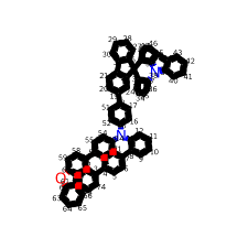 c1ccc(-c2ccc(-c3ccccc3N(c3ccc(-c4ccc5c(c4)C4(c6ccccc6-5)c5ccccc5-n5c6ccccc6c6cccc4c65)cc3)c3ccc(-c4ccc5oc6ccccc6c5c4)cc3)cc2)cc1